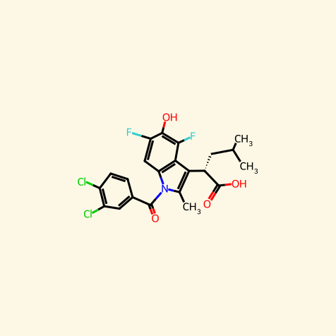 Cc1c([C@H](CC(C)C)C(=O)O)c2c(F)c(O)c(F)cc2n1C(=O)c1ccc(Cl)c(Cl)c1